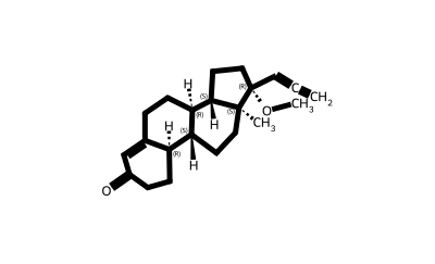 C=C=C[C@]1(OC)CC[C@H]2[C@@H]3CCC4=CC(=O)CC[C@@H]4[C@H]3CC[C@@]21C